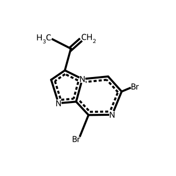 C=C(C)c1cnc2c(Br)nc(Br)cn12